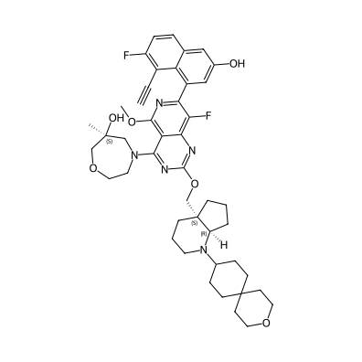 C#Cc1c(F)ccc2cc(O)cc(-c3nc(OC)c4c(N5CCOC[C@@](C)(O)C5)nc(OC[C@]56CCC[C@H]5N(C5CCC7(CCOCC7)CC5)CCC6)nc4c3F)c12